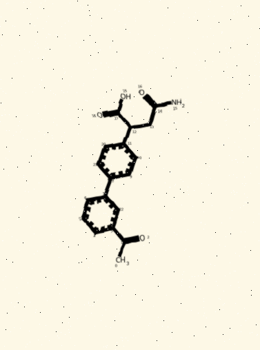 CC(=O)c1cccc(-c2ccc(C(CC(N)=O)C(=O)O)cc2)c1